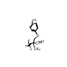 Cc1ccc(OCC(C)(O)C(F)(F)F)cc1